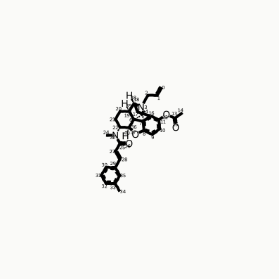 C=CCN1CC[C@@]23c4c5ccc(OC(C)=O)c4C[C@@H]1[C@@H]2CC[C@@H](N(C)C(=O)C=Cc1cccc(C)c1)[C@@H]3O5